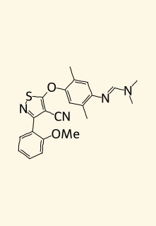 COc1ccccc1-c1nsc(Oc2cc(C)c(N=CN(C)C)cc2C)c1C#N